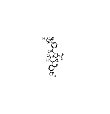 CS(=O)(=O)c1cccc(C(=O)N2C[C@H](C(F)F)C[C@@H]2C(=O)NC(c2ccc(C(F)(F)F)cc2F)C2CC2)c1